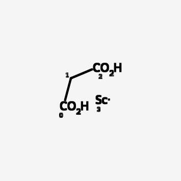 O=C(O)CC(=O)O.[Sc]